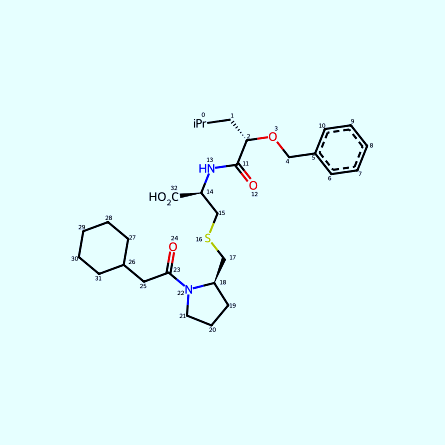 CC(C)C[C@H](OCc1ccccc1)C(=O)N[C@@H](CSC[C@H]1CCCN1C(=O)CC1CCCCC1)C(=O)O